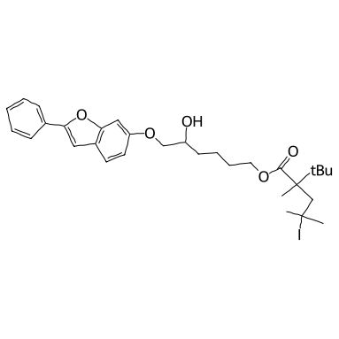 CC(C)(I)CC(C)(C(=O)OCCCCC(O)COc1ccc2cc(-c3ccccc3)oc2c1)C(C)(C)C